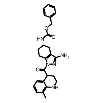 Cc1cccc2c1NCCC2C(=O)n1nc(N)c2c1CC[C@H](NC(=O)OCc1ccccc1)C2